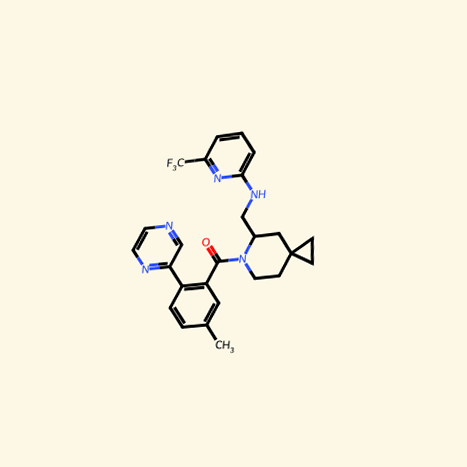 Cc1ccc(-c2cnccn2)c(C(=O)N2CCC3(CC3)CC2CNc2cccc(C(F)(F)F)n2)c1